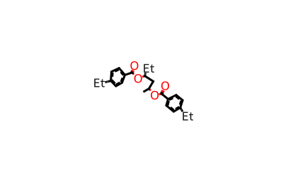 CCc1ccc(C(=O)OC(C)CC(CC)OC(=O)c2ccc(CC)cc2)cc1